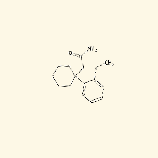 CCc1ccccc1C1(CC(N)=O)CCCCC1